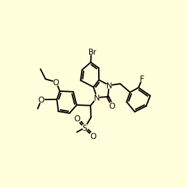 CCOc1cc(C(CS(C)(=O)=O)n2c(=O)n(Cc3ccccc3F)c3cc(Br)ccc32)ccc1OC